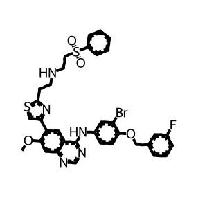 COc1cc2ncnc(Nc3ccc(OCc4cccc(F)c4)c(Br)c3)c2cc1-c1csc(CCNCCS(=O)(=O)c2ccccc2)n1